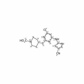 N#Cc1cnc(Nc2cc(Cl)nc(SC3CCN(C(=O)O)CC3)n2)s1